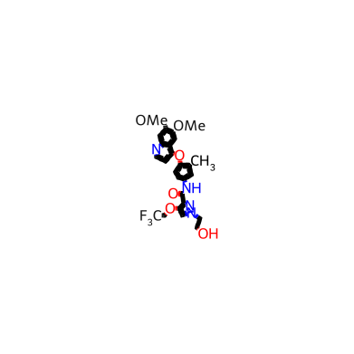 COc1cc2nccc(Oc3ccc(NC(=O)c4nn(CCO)cc4OCC(F)(F)F)cc3C)c2cc1OC